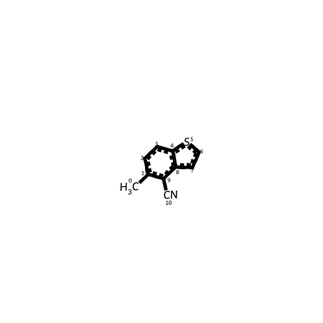 Cc1ccc2sccc2c1C#N